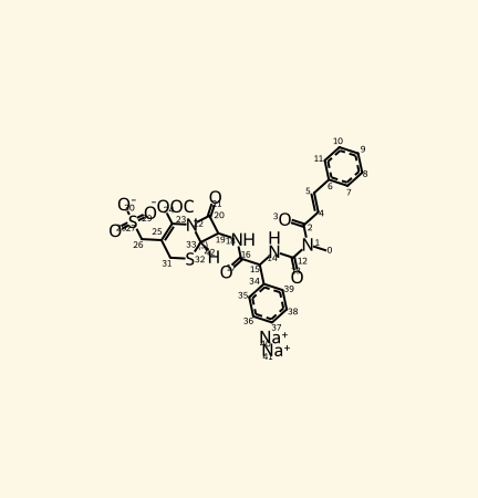 CN(C(=O)C=Cc1ccccc1)C(=O)NC(C(=O)NC1C(=O)N2C(C(=O)[O-])=C(CS(=O)(=O)[O-])CS[C@@H]12)c1ccccc1.[Na+].[Na+]